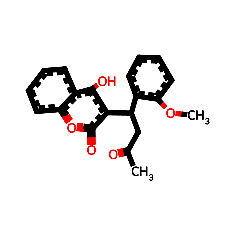 COc1ccccc1C(CC(C)=O)c1c(O)c2ccccc2oc1=O